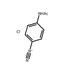 CC(=O)Nc1ccc([N+]#N)cc1.[Cl-]